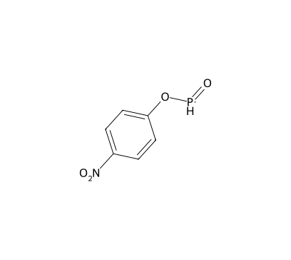 O=[PH]Oc1ccc([N+](=O)[O-])cc1